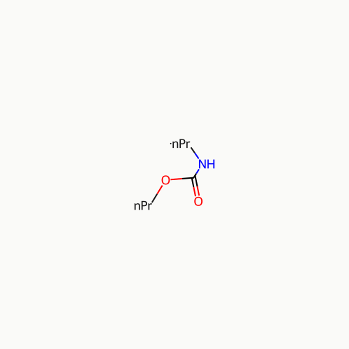 CC[CH]NC(=O)OCCC